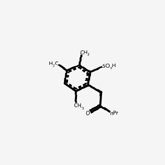 CCCC(=O)Cc1c(C)cc(C)c(C)c1S(=O)(=O)O